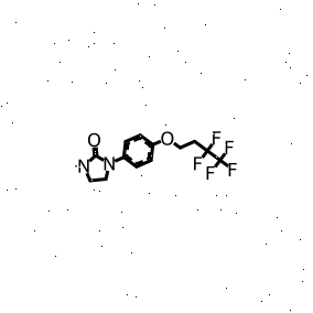 O=C1[N]CCN1c1ccc(OCCC(F)(F)C(F)(F)F)cc1